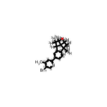 [2H]C([2H])([2H])C1([2H])c2cc(-c3cc(C)c(Br)cn3)ccc2C(C([2H])([2H])[2H])(C([2H])([2H])[2H])C1(C([2H])([2H])[2H])C([2H])([2H])[2H]